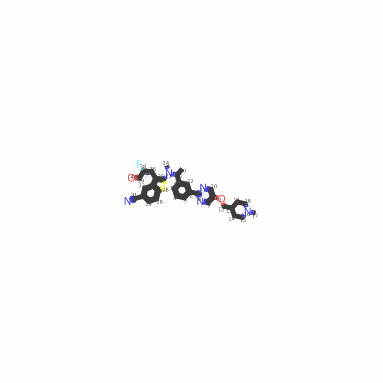 CC(c1cccc(-c2ncc(OCC3CCN(C)CC3)cn2)c1)N(C)c1sc2ccc(C#N)cc2c1/C=C(/F)C=O